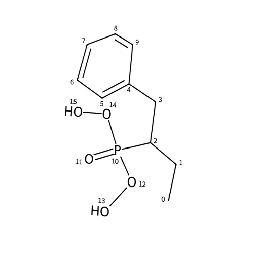 CCC(Cc1ccccc1)P(=O)(OO)OO